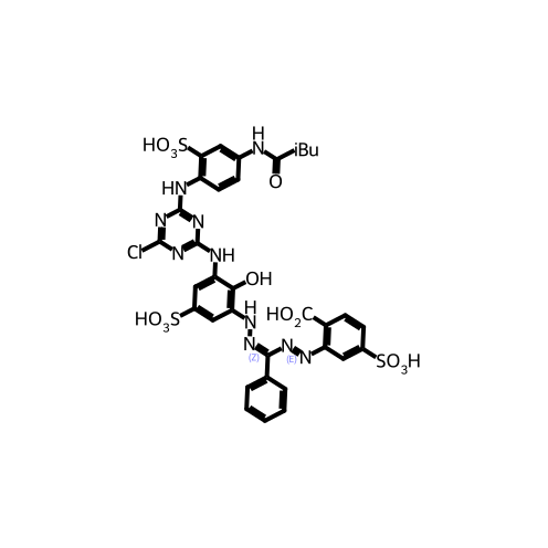 CCC(C)C(=O)Nc1ccc(Nc2nc(Cl)nc(Nc3cc(S(=O)(=O)O)cc(N/N=C(\N=N\c4cc(S(=O)(=O)O)ccc4C(=O)O)c4ccccc4)c3O)n2)c(S(=O)(=O)O)c1